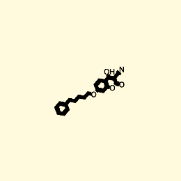 N#Cc1c(O)c2ccc(OCCCCCc3ccccc3)cc2oc1=O